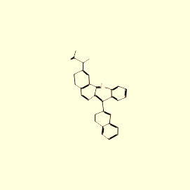 CC(=O)C(C)C1=Cc2c(ccc3c(C4=Cc5ccccc5CC4)c4ccccc4nc23)CC1